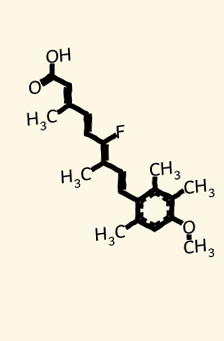 COc1cc(C)c(/C=C/C(C)=C(F)/C=C/C(C)=C/C(=O)O)c(C)c1C